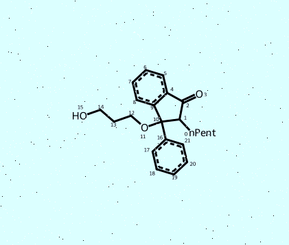 CCCCCC1C(=O)c2ccccc2C1(OCCCO)c1ccccc1